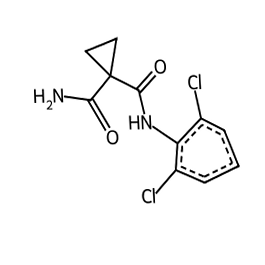 NC(=O)C1(C(=O)Nc2c(Cl)cccc2Cl)CC1